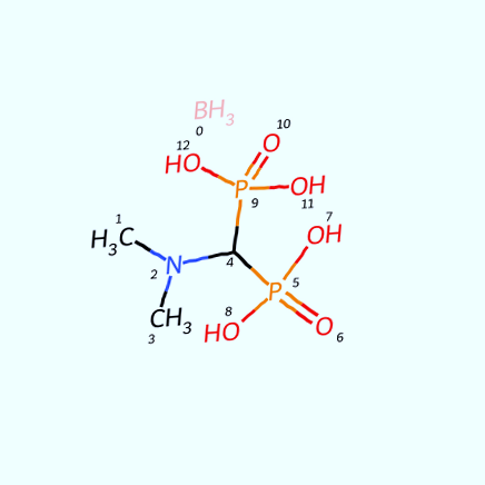 B.CN(C)C(P(=O)(O)O)P(=O)(O)O